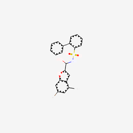 Cc1cc(Br)cc2oc(C(O)NS(=O)(=O)c3ccccc3-c3ccccc3)cc12